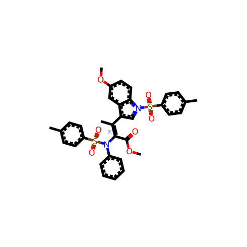 COC(=O)/C(=C(/C)c1cn(S(=O)(=O)c2ccc(C)cc2)c2ccc(OC)cc12)N(c1ccccc1)S(=O)(=O)c1ccc(C)cc1